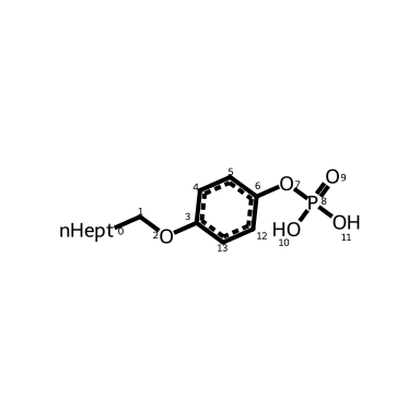 CCCCCCCCOc1ccc(OP(=O)(O)O)cc1